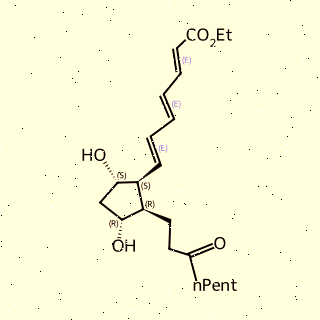 CCCCCC(=O)CC[C@@H]1[C@H](/C=C/C=C/C=C/C(=O)OCC)[C@@H](O)C[C@H]1O